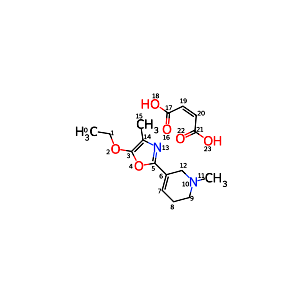 CCOc1oc(C2=CCCN(C)C2)nc1C.O=C(O)/C=C\C(=O)O